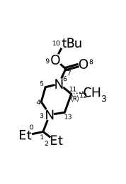 CCC(CC)N1CCN(C(=O)OC(C)(C)C)[C@H](C)C1